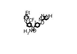 CCN1CCN(Cc2ccc(N(C(N)=O)c3ccc(Oc4ncnc5[nH]ccc45)cc3)cc2C(F)(F)F)CC1